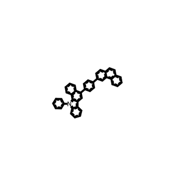 c1ccc(-n2c3ccccc3c3cc(-c4ccc(-c5ccc6ccc7ccccc7c6c5)cc4)c4ccccc4c32)cc1